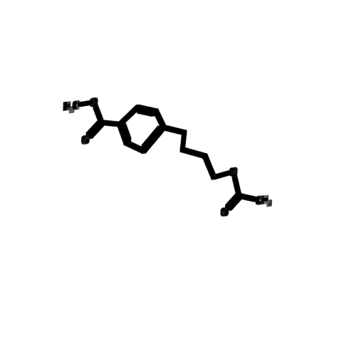 COC(=O)c1ccc(CCCCOC(C)=O)cc1